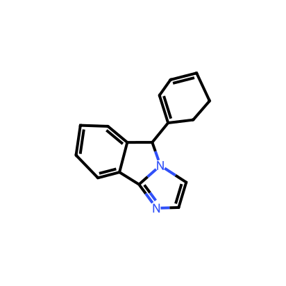 C1=CCCC(C2c3ccccc3-c3nccn32)=C1